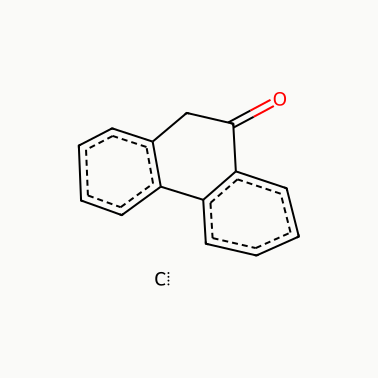 O=C1Cc2ccccc2-c2ccccc21.[C]